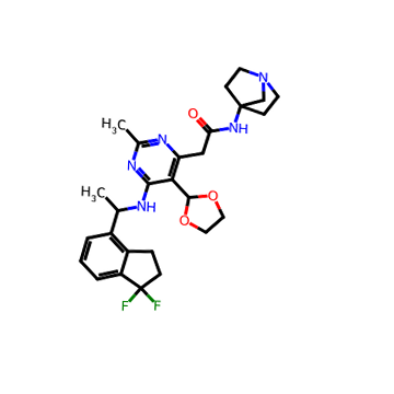 Cc1nc(CC(=O)NC23CCN(CC2)C3)c(C2OCCO2)c(NC(C)c2cccc3c2CCC3(F)F)n1